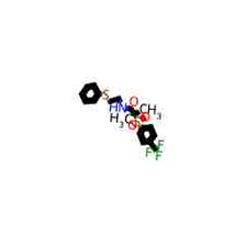 CC(C)(C(=O)NCCSc1ccccc1)S(=O)(=O)c1ccc(C(F)(F)F)cc1